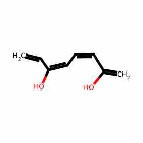 C=C/C(O)=C\C=C/C(=C)O